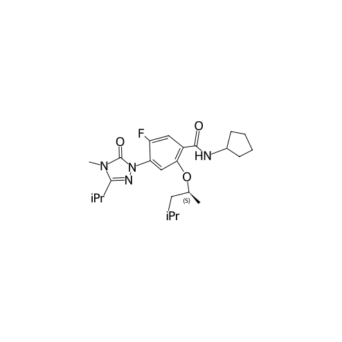 CC(C)C[C@H](C)Oc1cc(-n2nc(C(C)C)n(C)c2=O)c(F)cc1C(=O)NC1CCCC1